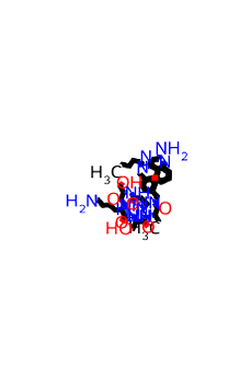 CCCCc1nc2c(N)nc3ccccc3c2n1Cc1ccc(CNC(=O)C(CC)NC(=O)C(CO)NC(=O)C(CCCCN)NC(=O)C(CO)NC(=O)CCN)cc1